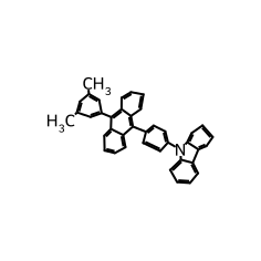 Cc1cc(C)cc(-c2c3ccccc3c(-c3ccc(-n4c5ccccc5c5ccccc54)cc3)c3ccccc23)c1